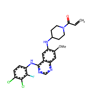 C=CC(=O)N1CCC(Nc2cc3c(Nc4ccc(Cl)c(Cl)c4F)ncnc3cc2OC)CC1